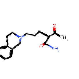 CC(=O)C(CCCN1CCc2ccccc2C1)C(N)=O